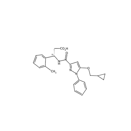 Cc1ccccc1[C@H](CC(=O)O)NC(=O)c1cc(OCC2CC2)n(-c2ccccc2)n1